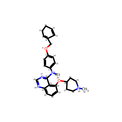 CCN(c1ccc(OCC2=C[C][C]C=C2)cc1)c1ncnc2cccc(OC3CCN(C)CC3)c12